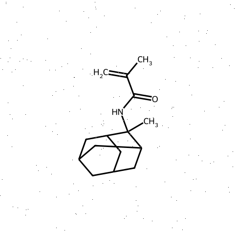 C=C(C)C(=O)NC1(C)C2CC3CC(C2)CC1C3